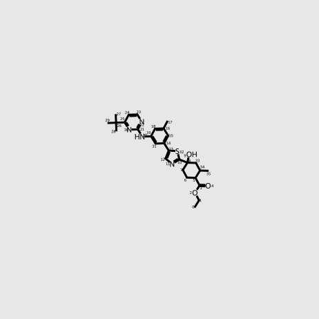 CCOC(=O)C1CCC(O)(c2ncc(-c3cc(C)cc(Nc4nccc(C(C)(C)C)n4)c3)s2)CC1C